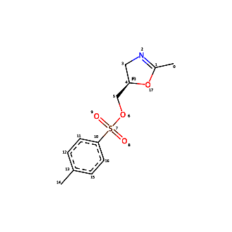 CC1=NC[C@H](COS(=O)(=O)c2ccc(C)cc2)O1